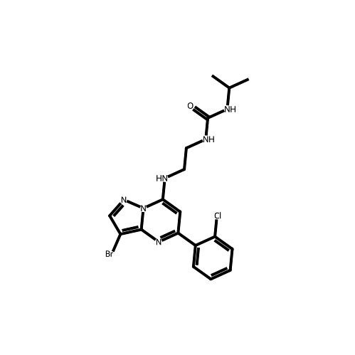 CC(C)NC(=O)NCCNc1cc(-c2ccccc2Cl)nc2c(Br)cnn12